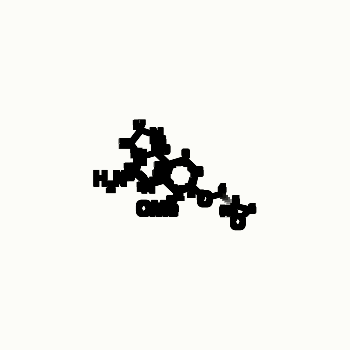 COc1c(OC[C@@H]2CO2)ccc2c1N=C(N)N1CCN=C21